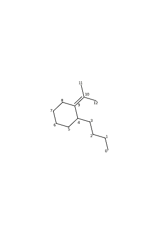 CCCCC1CCCCC1=C(C)C